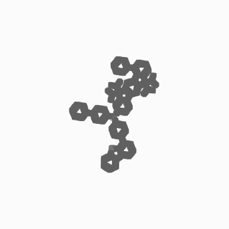 CC(C)C1(C(C)C)c2cc(N(c3ccc(-c4ccccc4)cc3)c3ccc(-c4cccc5c4oc4ccccc45)cc3)ccc2-c2cc3c(cc21)-c1c(-c2ccccc2)cccc1C3(C(C)C)C(C)C